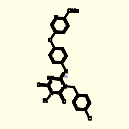 CCn1c(=O)[nH]/c(=N\c2ccc(Oc3ccc(OC)nc3)cc2)n(Cc2ccc(Cl)cc2)c1=O